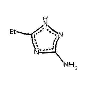 CCc1nc(N)n[nH]1